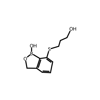 OCCCSc1cccc2c1B(O)OC2